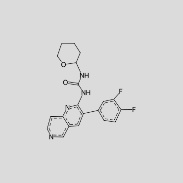 O=C(Nc1nc2ccncc2cc1-c1ccc(F)c(F)c1)NC1CCCCO1